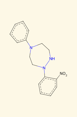 O=[N+]([O-])c1ccccc1N1CCN(c2ccccc2)CCN1